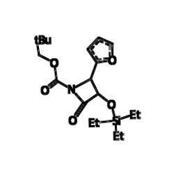 CC[Si](CC)(CC)OC1C(=O)N(C(=O)OCC(C)(C)C)C1c1ccco1